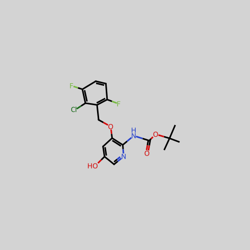 CC(C)(C)OC(=O)Nc1ncc(O)cc1OCc1c(F)ccc(F)c1Cl